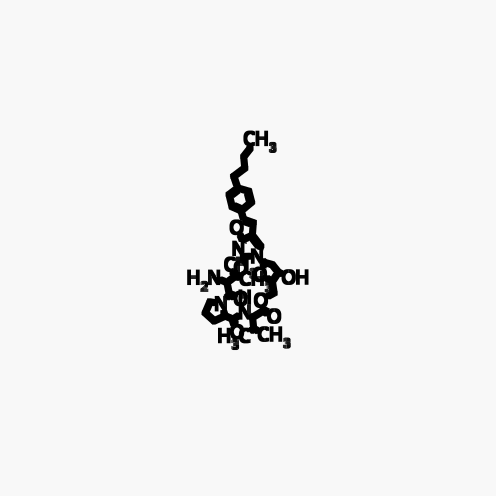 CCCCCc1ccc(-c2cc3cn(C4CC(O)C(COC(=O)C(NC(=O)C5CCCN5C(=O)C(N)C(C)C)C(C)C)O4)c(=O)nc3o2)cc1